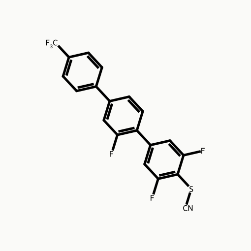 N#CSc1c(F)cc(-c2ccc(-c3ccc(C(F)(F)F)cc3)cc2F)cc1F